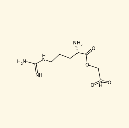 N=C(N)NCCC[C@H](N)C(=O)OC[SH](=O)=O